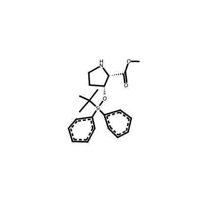 COC(=O)[C@H]1NCC[C@H]1O[Si](c1ccccc1)(c1ccccc1)C(C)(C)C